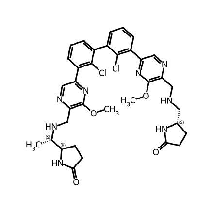 COc1nc(-c2cccc(-c3cccc(-c4cnc(CN[C@@H](C)[C@H]5CCC(=O)N5)c(OC)n4)c3Cl)c2Cl)cnc1CNC[C@@H]1CCC(=O)N1